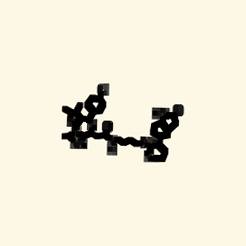 Cc1sc2c(c1C)C(c1ccc(Cl)cc1)=N[C@@H](CC(=O)NCCCCNc1ncccc1-c1ccc3c(c1)CC(=O)N3)c1nnc(C)n1-2